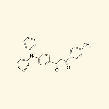 Cc1ccc(C(=O)CC(=O)c2ccc(N(c3ccccc3)c3ccccc3)cc2)cc1